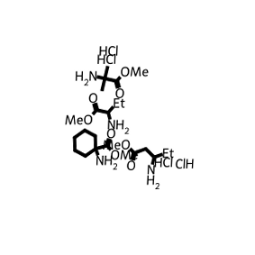 CCC(N)C(=O)OC.CCC(N)CC(=O)OC.COC(=O)C(C)(C)N.COC(=O)C1(N)CCCCC1.Cl.Cl.Cl.Cl